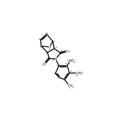 Cc1ccc(N2C(=O)C3C4C=CC(O4)C3C2=O)c([N+](=O)[O-])c1C=O